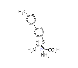 Cc1ccc(-c2ccc(S/C(NN)=C(/N)C(=O)O)cc2)cc1